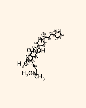 CN(C)CC#Cc1c2ncn(CC3(O)CCN(C(=O)CCc4ccccc4)CC3)c(=O)c2nn1C